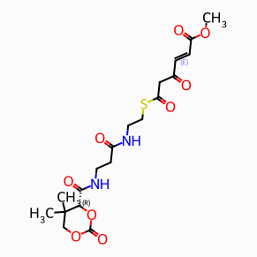 COC(=O)/C=C/C(=O)CC(=O)SCCNC(=O)CCNC(=O)[C@@H]1OC(=O)OCC1(C)C